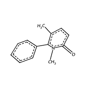 Cc1ccc(=O)n(C)c1-c1ccccc1